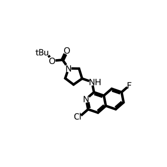 CC(C)(C)OC(=O)N1CCC(Nc2nc(Cl)cc3ccc(F)cc23)C1